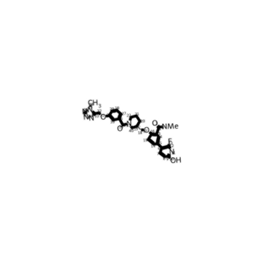 CNC(=O)c1cc(-c2ccc(O)nc2F)ccc1OC[C@H]1CCCN(C(=O)c2cccc(OCc3nnnn3C)c2)C1